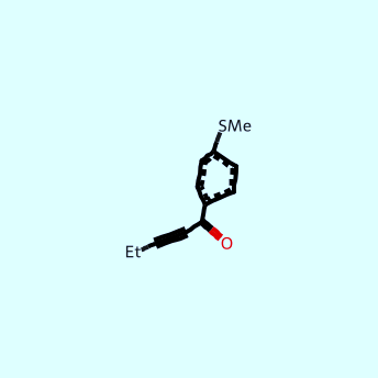 CCC#CC(=O)c1ccc(SC)cc1